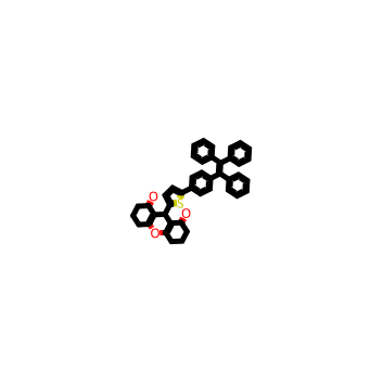 O=C1CCCC2=C1C(c1ccc(-c3ccc(C(=C(c4ccccc4)c4ccccc4)c4ccccc4)cc3)s1)C1=C(CCCC1=O)O2